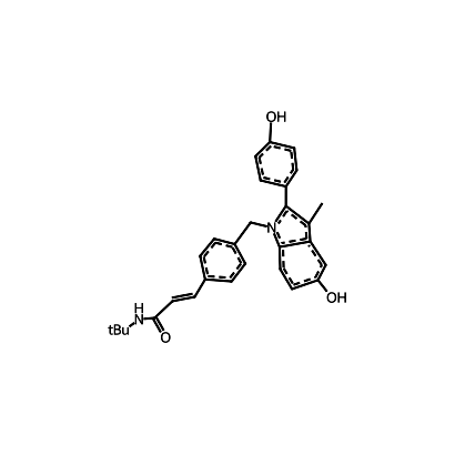 Cc1c(-c2ccc(O)cc2)n(Cc2ccc(C=CC(=O)NC(C)(C)C)cc2)c2ccc(O)cc12